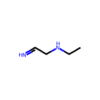 CCNCC=N